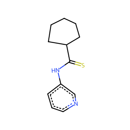 S=C(Nc1cccnc1)C1CCCCC1